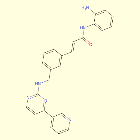 Nc1ccccc1NC(=O)/C=C/c1cccc(CNc2nccc(-c3cccnc3)n2)c1